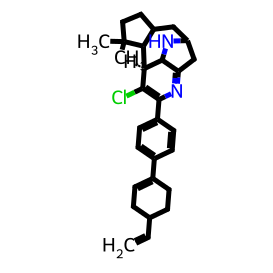 C=CC1CC=C(c2ccc(C3=C(Cl)[C@@H]4C5NC(CC5=N3)CC3CCC(C)(C)C34)cc2)CC1